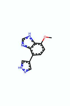 COc1ccc(-c2cn[nH]c2)c2nc[nH]c12